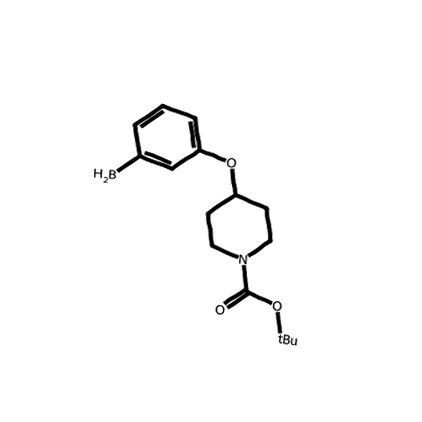 Bc1cccc(OC2CCN(C(=O)OC(C)(C)C)CC2)c1